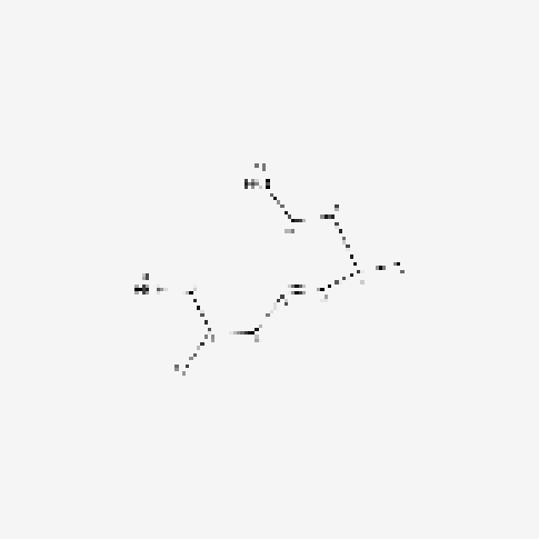 CC(C=CCC(C)CO)CCO